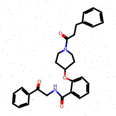 O=C(CNC(=O)c1ccccc1OC1CCN(C(=O)CCc2ccccc2)CC1)c1ccccc1